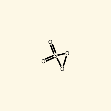 O=S1(=O)OO1